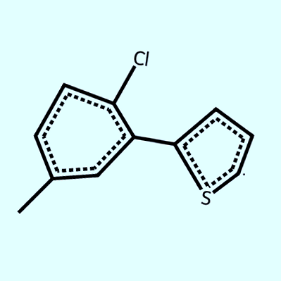 Cc1ccc(Cl)c(-c2cc[c]s2)c1